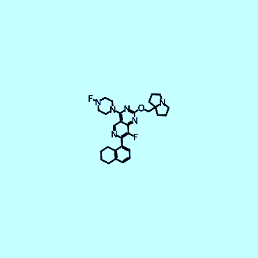 Fc1c(-c2cccc3c2CCCC3)ncc2c(N3CCN(F)CC3)nc(OCC34CCCN3CCC4)nc12